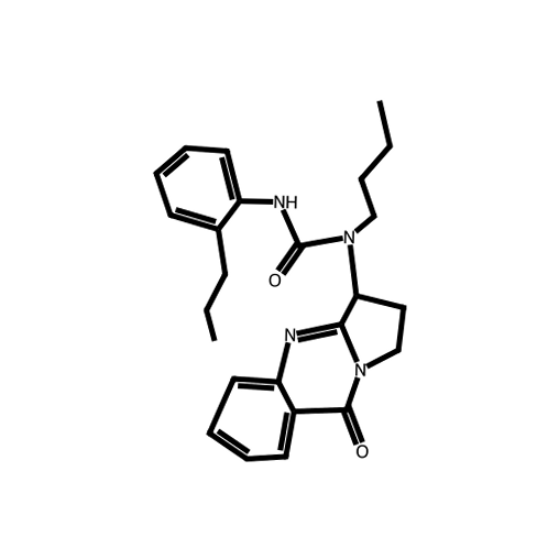 CCCCN(C(=O)Nc1ccccc1CCC)C1CCn2c1nc1ccccc1c2=O